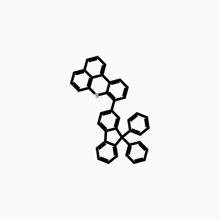 c1ccc(C2(c3ccccc3)c3ccccc3-c3ccc(-c4cccc5c4Sc4cccc6cccc-5c46)cc32)cc1